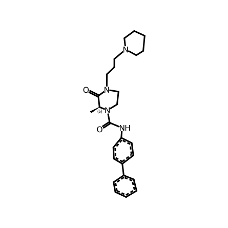 C[C@H]1C(=O)N(CCCN2CCCCC2)CCN1C(=O)Nc1ccc(-c2ccccc2)cc1